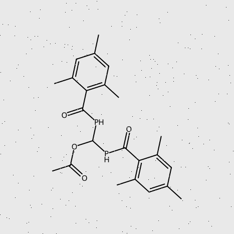 CC(=O)OC(PC(=O)c1c(C)cc(C)cc1C)PC(=O)c1c(C)cc(C)cc1C